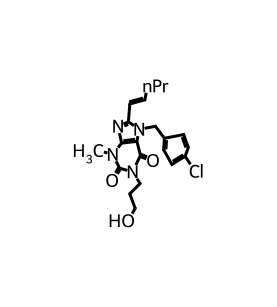 CCCC=Cc1nc2c(c(=O)n(CCCO)c(=O)n2C)n1Cc1ccc(Cl)cc1